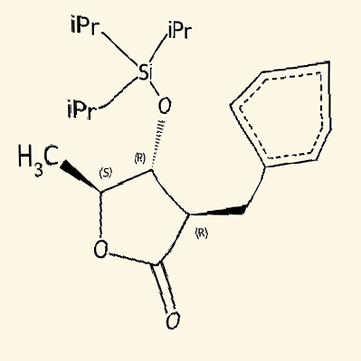 CC(C)[Si](O[C@H]1[C@H](C)OC(=O)[C@@H]1Cc1ccccc1)(C(C)C)C(C)C